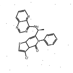 C[C@H](Nc1ncnc2cccnc12)C1=CC2SC=C(Cl)C2C(=O)N1c1ccccc1